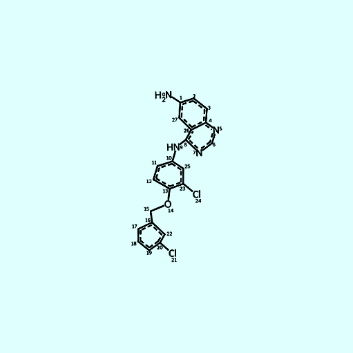 Nc1ccc2ncnc(Nc3ccc(OCc4cccc(Cl)c4)c(Cl)c3)c2c1